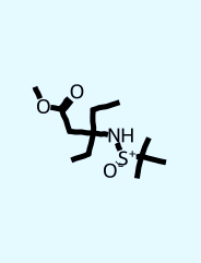 CCC(CC)(CC(=O)OC)N[S+]([O-])C(C)(C)C